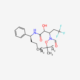 CCC[C@H](NC(=O)C(O)C(CC(F)(F)F)N(C=O)OC(C)(C)C)c1ccccc1